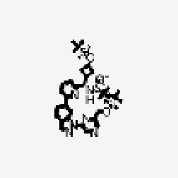 CC(C)(C)[S+]([O-])N[C@H](c1cccc(-c2ccc3cnn(-c4cncc(CO[Si](C)(C)C(C)(C)C)n4)c3c2)n1)C1CC(O[Si](C)(C)C(C)(C)C)C1